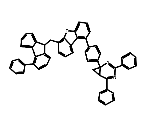 c1ccc(C2=NC3(c4ccc(-c5cccc6oc7c(CC8c9ccccc9-c9c(-c%10ccccc%10)cccc98)cccc7c56)cc4)CC3C(c3ccccc3)=N2)cc1